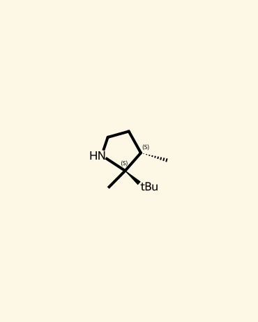 C[C@H]1CCN[C@]1(C)C(C)(C)C